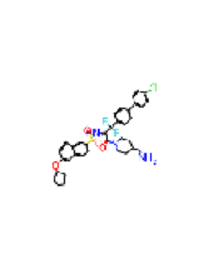 NCC1CCN(C(=O)[C@@H](NS(=O)(=O)c2ccc3cc(OC4CCCC4)ccc3c2)C(F)(F)c2ccc(-c3ccc(Cl)cc3)cc2)CC1